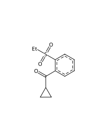 CCS(=O)(=O)c1ccccc1C(=O)C1CC1